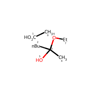 CC(=O)O.CCCCC(C)(O)OCC